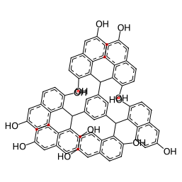 Oc1ccc2c(C(c3cc(C(c4c(O)ccc5cc(O)ccc45)c4c(O)ccc5cc(O)ccc45)cc(C(c4c(O)ccc5cc(O)ccc45)c4c(O)ccc5cc(O)ccc45)c3)c3c(O)ccc4cc(O)ccc34)c(O)ccc2c1